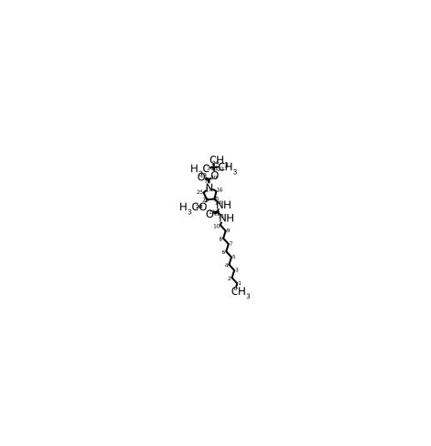 CCCCCCCCCCCNC(=O)NC1CN(C(=O)OC(C)(C)C)C[C@@H]1OC